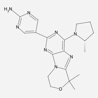 C[C@H]1CCCN1c1nc(-c2cnc(N)nc2)nc2c1nc1n2CCOC1(C)C